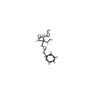 CCC1(COCc2ccccc2)COC1OC